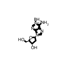 B[n+]1cnc2c(ncn2[C@H]2C[C@H](O)[C@@H](CO)O2)c1N